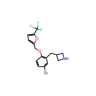 FC(F)(F)c1ccc(COc2ccc(Br)cc2CC2CNC2)o1